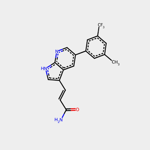 Cc1cc(-c2cnc3[nH]cc(/C=C/C(N)=O)c3c2)cc(C(F)(F)F)c1